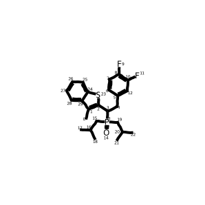 Cc1c(C(Cc2ccc(F)c(F)c2)P(=O)(CC(C)C)CC(C)C)sc2ccccc12